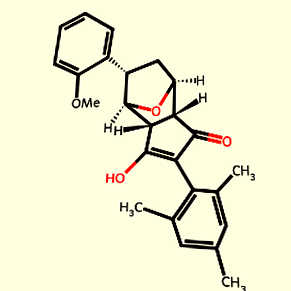 COc1ccccc1[C@@H]1C[C@@H]2O[C@H]1[C@H]1C(O)=C(c3c(C)cc(C)cc3C)C(=O)[C@H]12